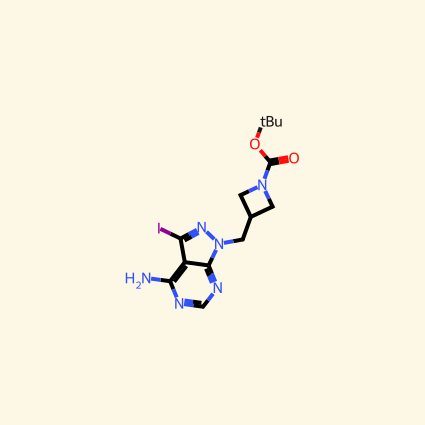 CC(C)(C)OC(=O)N1CC(Cn2nc(I)c3c(N)ncnc32)C1